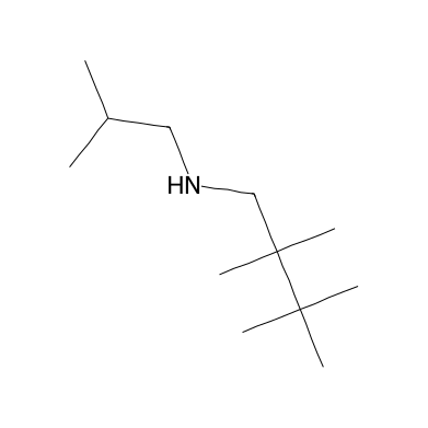 CC(C)CNCC(C)(C)C(C)(C)C